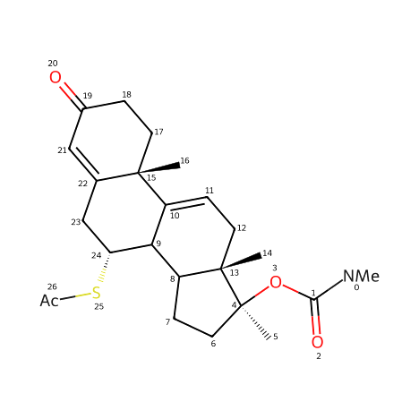 CNC(=O)O[C@@]1(C)CCC2C3C(=CC[C@@]21C)[C@@]1(C)CCC(=O)C=C1C[C@H]3SC(C)=O